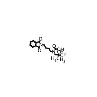 CC(C)(C)CN(CCCCN1C(=O)c2ccccc2C1=O)C(=O)O